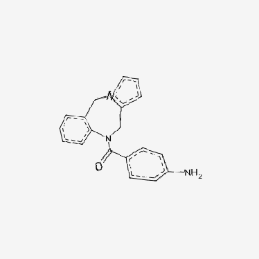 Nc1ccc(C(=O)N2Cc3cccn3Cc3ccccc32)cc1